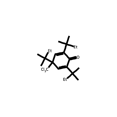 CCC(C)(C)C1=CC(C(Cl)(Cl)Cl)(C(C)(C)CC)C=C(C(C)(C)CC)C1=O